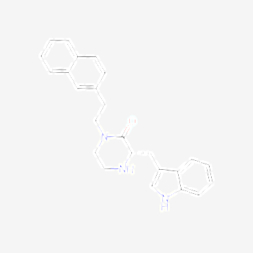 O=C1[C@H](Cc2c[nH]c3ccccc23)NCCN1CCc1ccc2ccccc2c1